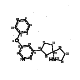 c1ccc(Oc2cncc(C3CCC4(CCCN4)C3)c2)cc1